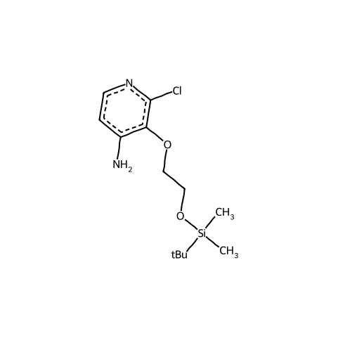 CC(C)(C)[Si](C)(C)OCCOc1c(N)ccnc1Cl